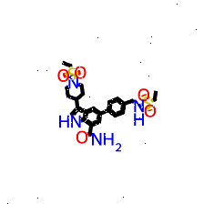 CCS(=O)(=O)NCc1ccc(-c2cc(C(N)=O)c3[nH]cc(C4CCN(S(=O)(=O)CC)CC4)c3c2)cc1